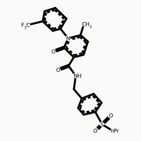 CCCS(=O)(=O)c1ccc(CNC(=O)c2ccc(C)n(-c3cccc(C(F)(F)F)c3)c2=O)cc1